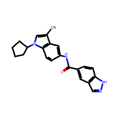 N#Cc1cn(C2CCCC2)c2ccc(NC(=O)c3ccc4[nH]ncc4c3)cc12